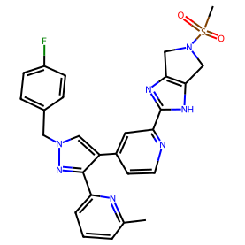 Cc1cccc(-c2nn(Cc3ccc(F)cc3)cc2-c2ccnc(-c3nc4c([nH]3)CN(S(C)(=O)=O)C4)c2)n1